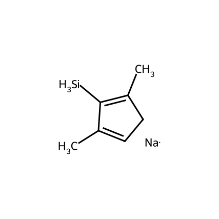 CC1=CCC(C)=C1[SiH3].[Na]